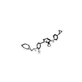 O=C1C(Oc2ccc(C3CC3)cc2)=CCN1c1ccc(OCCN2CCCCC2)c(Br)c1